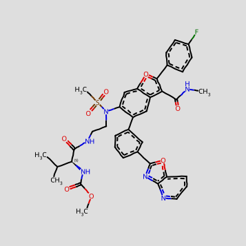 CNC(=O)c1c(-c2ccc(F)cc2)oc2cc(N(CCNC(=O)[C@@H](NC(=O)OC)C(C)C)S(C)(=O)=O)c(-c3cccc(-c4nc5ncccc5o4)c3)cc12